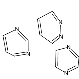 c1ccnnc1.c1cnccn1.c1cncnc1